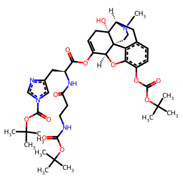 CN1CC[C@]23c4c5ccc(OC(=O)OC(C)(C)C)c4O[C@H]2C(OC(=O)[C@H](Cc2cn(C(=O)OC(C)(C)C)cn2)NC(=O)CCNC(=O)OC(C)(C)C)=CC[C@@]3(O)[C@H]1C5